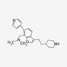 CN(C)Cc1c(-c2ccncc2)ccc2c(CCC3CCNCC3)coc12